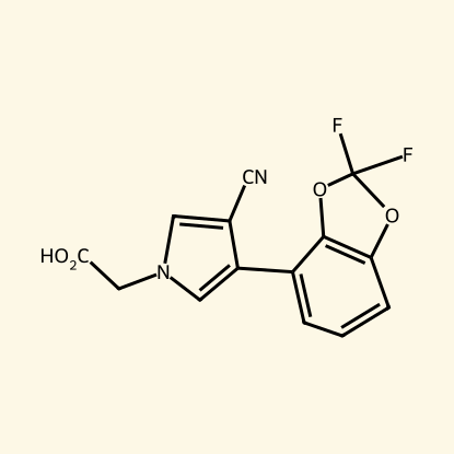 N#Cc1cn(CC(=O)O)cc1-c1cccc2c1OC(F)(F)O2